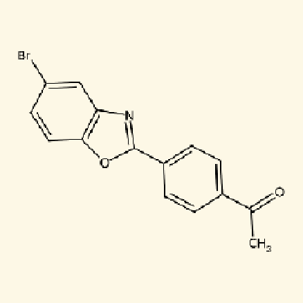 CC(=O)c1ccc(-c2nc3cc(Br)ccc3o2)cc1